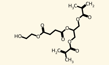 C=C(C)C(=O)OCC(COC(=O)C(=C)C)OC(=O)CCC(=O)OCCO